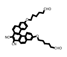 N#Cc1c(C#N)c2ccc3cc(OCCCCCC=O)ccc3c2c2c1ccc1cc(OCCCCCC=O)ccc12